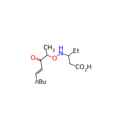 CCCCC=CC(=O)C(C)ONC(CC)CC(=O)O